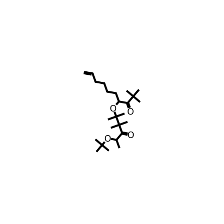 C=CCCCCC(OC(C)(C)C(C)(C)C(=O)C(C)OC(C)(C)C)C(=O)C(C)(C)C